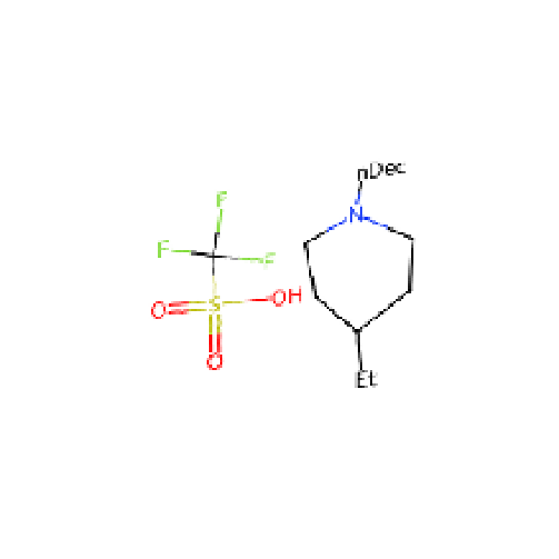 CCCCCCCCCCN1CCC(CC)CC1.O=S(=O)(O)C(F)(F)F